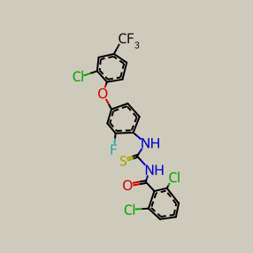 O=C(NC(=S)Nc1ccc(Oc2ccc(C(F)(F)F)cc2Cl)cc1F)c1c(Cl)cccc1Cl